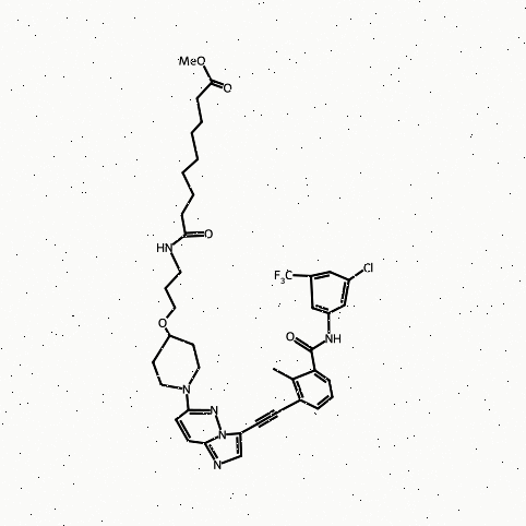 COC(=O)CCCCCCCC(=O)NCCCOC1CCN(c2ccc3ncc(C#Cc4cccc(C(=O)Nc5cc(Cl)cc(C(F)(F)F)c5)c4C)n3n2)CC1